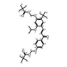 CC(C)Oc1cc(OCOC(=O)C(C)(C)C)c(C(C)(C)C)cc1C=CC(=O)c1ccc(OCOC(=O)C(C)(C)C)cc1